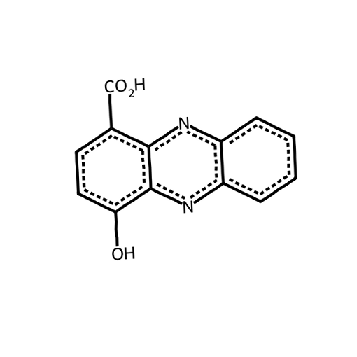 O=C(O)c1ccc(O)c2nc3ccccc3nc12